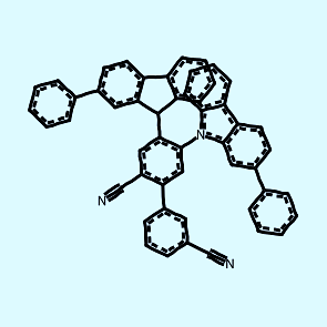 N#Cc1cccc(-c2cc(-n3c4ccccc4c4ccc(-c5ccccc5)cc43)c(C3c4ccccc4-c4ccc(-c5ccccc5)cc43)cc2C#N)c1